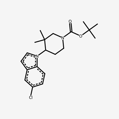 CC(C)(C)OC(=O)N1CCC(n2ccc3cc(Cl)ccc32)C(C)(C)C1